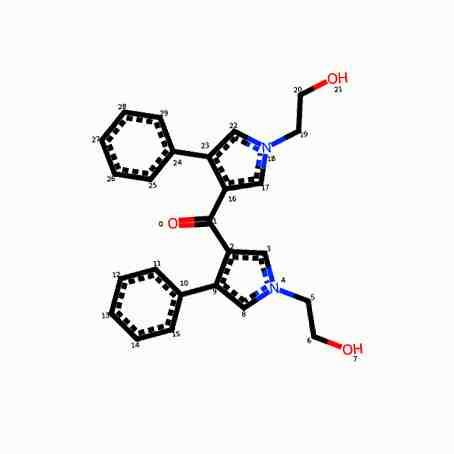 O=C(c1cn(CCO)cc1-c1ccccc1)c1cn(CCO)cc1-c1ccccc1